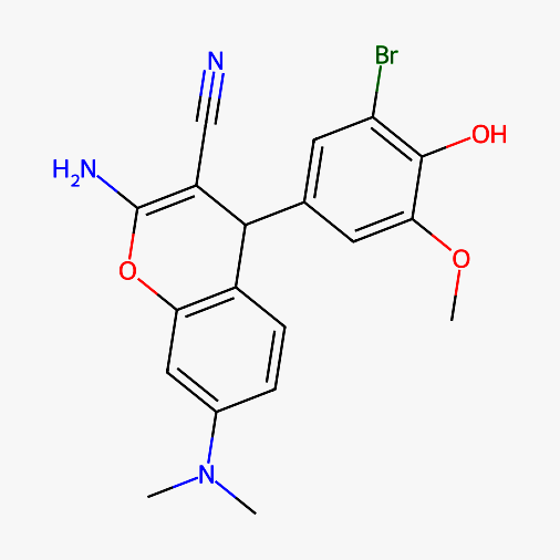 COc1cc(C2C(C#N)=C(N)Oc3cc(N(C)C)ccc32)cc(Br)c1O